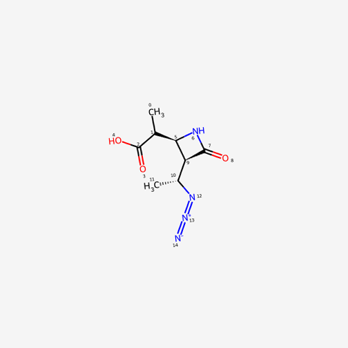 CC(C(=O)O)[C@H]1NC(=O)[C@H]1[C@@H](C)N=[N+]=[N-]